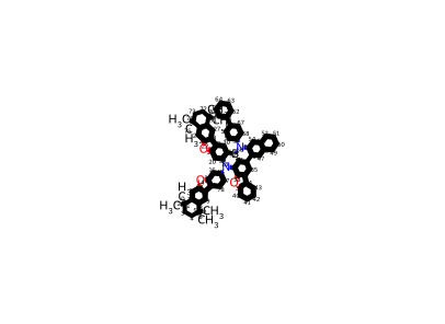 CC1(C)CCC(C)(C)c2cc3c(cc21)oc1cc(N2c4cc5oc6cc7c(cc6c5cc4B4c5c(cc6c(oc8ccccc86)c52)-c2cc5ccccc5cc2N4c2ccc(-c4ccccc4)cc2)C(C)(C)CCC7(C)C)ccc13